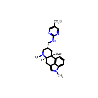 CCOC(=O)c1cnc(NC[C@H]2CN(C)[C@@H]3Cc4cn(C)c5cccc(c45)[C@@]3(OC)C2)nc1